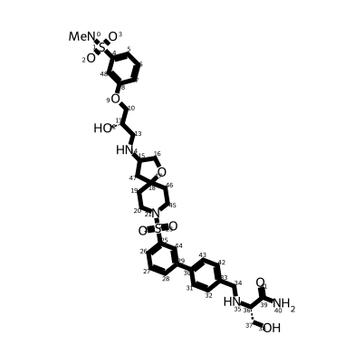 CNS(=O)(=O)c1cccc(OC[C@@H](O)CNC2COC3(CCN(S(=O)(=O)c4cccc(-c5ccc(CN[C@@H](CO)C(N)=O)cc5)c4)CC3)C2)c1